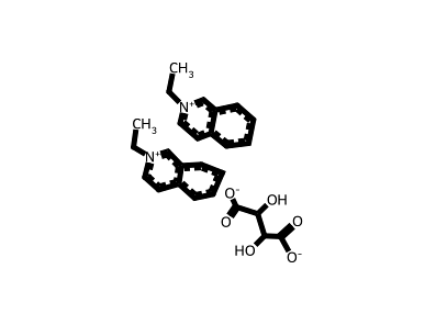 CC[n+]1ccc2ccccc2c1.CC[n+]1ccc2ccccc2c1.O=C([O-])C(O)C(O)C(=O)[O-]